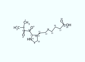 CC(C)C(=O)C(=O)C1NCC[C@@H]1CCCCCCC(=O)O